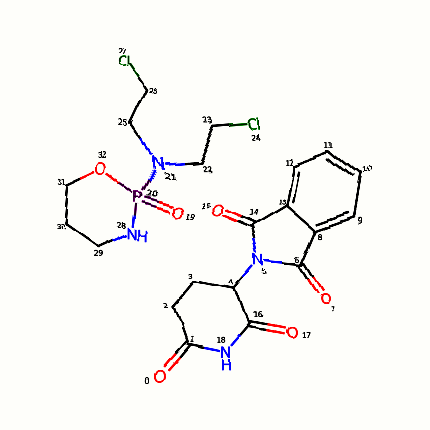 O=C1CCC(N2C(=O)c3ccccc3C2=O)C(=O)N1.O=P1(N(CCCl)CCCl)NCCCO1